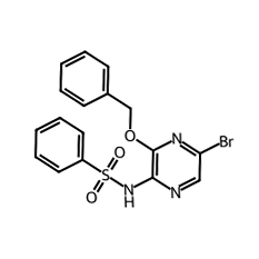 O=S(=O)(Nc1ncc(Br)nc1OCc1ccccc1)c1ccccc1